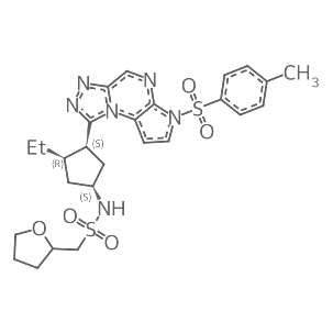 CC[C@@H]1C[C@H](NS(=O)(=O)CC2CCCO2)C[C@@H]1c1nnc2cnc3c(ccn3S(=O)(=O)c3ccc(C)cc3)n12